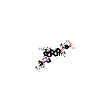 C=C(C)[C@@H]1CC[C@]2(C(=O)N3CCC[C@H]3c3nc(C(C)(C)C)co3)CC[C@]3(C)[C@H](CC[C@@H]4[C@@]5(C)CC[C@H](OC(=O)[C@H]6C[C@@H](C(=O)O)C6(C)C)C(C)(C)[C@@H]5CC[C@]43C)[C@@H]12